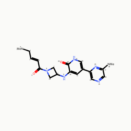 CNC/C=C/C(=O)N1CC(Nc2cc(-c3cncc(NC)n3)c[nH]c2=O)C1